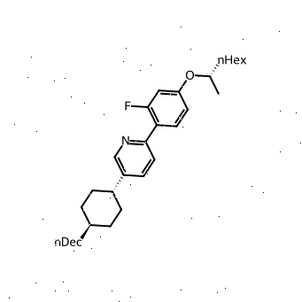 CCCCCCCCCC[C@H]1CC[C@H](c2ccc(-c3ccc(O[C@@H](C)CCCCCC)cc3F)nc2)CC1